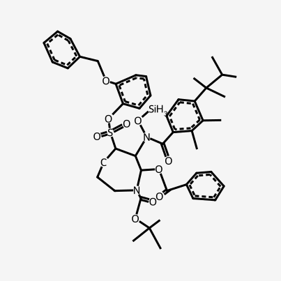 Cc1c(C(=O)N(O[SiH3])C2C(OC(=O)c3ccccc3)N(C(=O)OC(C)(C)C)CCCC2S(=O)(=O)Oc2ccccc2OCc2ccccc2)ccc(C(C)(C)C(C)C)c1C